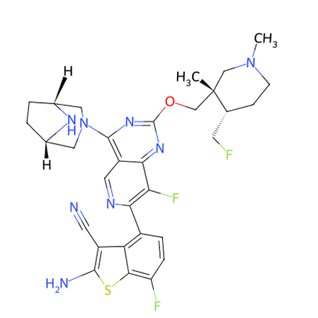 CN1CC[C@H](CF)[C@](C)(COc2nc(N3C[C@H]4CC[C@@H](C3)N4)c3cnc(-c4ccc(F)c5sc(N)c(C#N)c45)c(F)c3n2)C1